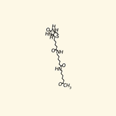 CC(=O)CCCCCNC(=O)CCCCCNC(=O)CCCCC1SC[C@@H]2NC(=O)N[C@H]12